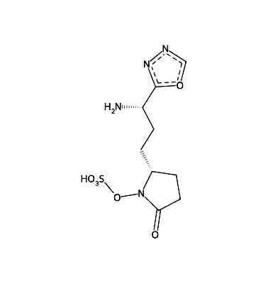 N[C@@H](CC[C@@H]1CCC(=O)N1OS(=O)(=O)O)c1nnco1